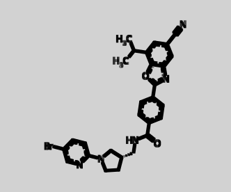 CC(C)c1cc(C#N)cc2nc(-c3ccc(C(=O)NC[C@@H]4CCN(c5ccc(Br)cn5)C4)cc3)oc12